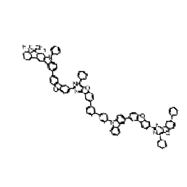 CC1(C)c2ccccc2-c2cc3c4cc(-c5ccc6oc7ccc(-c8nc(-c9ccccc9)c9oc%10ccc(-c%11cccc(-c%12ccc(-n%13c%14ccccc%14c%14cc(-c%15ccc%16oc%17cc(-c%18nc(-c%19ccccc%19)c%19oc%20ccc(-c%21ccccc%21)cc%20c%19n%18)ccc%17c%16c%15)ccc%14%13)cc%12)c%11)cc%10c9n8)cc7c6c5)ccc4n(-c4ccccc4)c3cc21